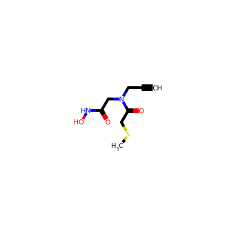 C#CCN(CC(=O)NO)C(=O)CSC